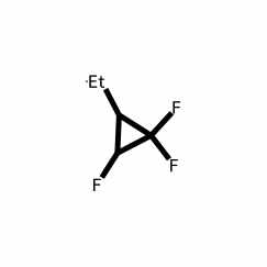 C[CH]C1C(F)C1(F)F